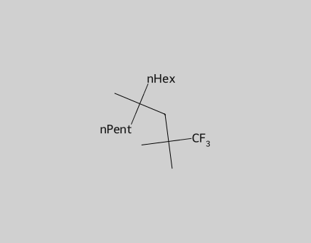 CCCCCCC(C)(CCCCC)CC(C)(C)C(F)(F)F